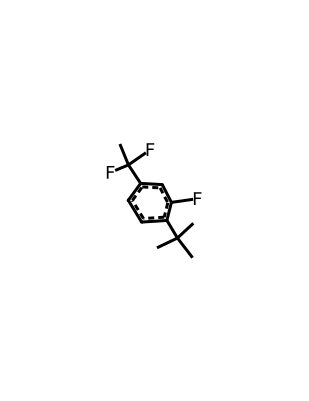 CC(C)(C)c1ccc(C(C)(F)F)cc1F